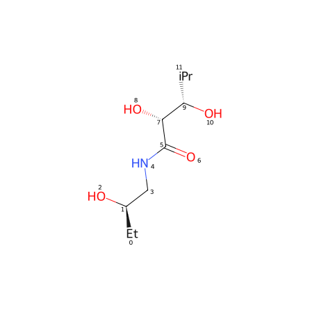 CC[C@@H](O)CNC(=O)[C@H](O)[C@@H](O)C(C)C